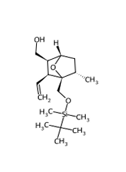 C=C[C@H]1[C@@H](CO)[C@@H]2C[C@H](C)[C@@]1(CO[Si](C)(C)C(C)(C)C)O2